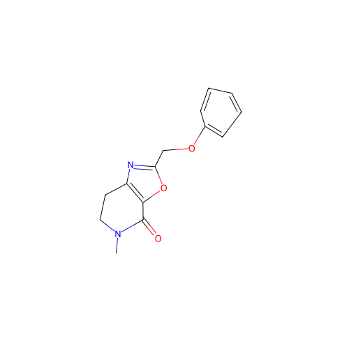 CN1CCc2nc(COc3ccccc3)oc2C1=O